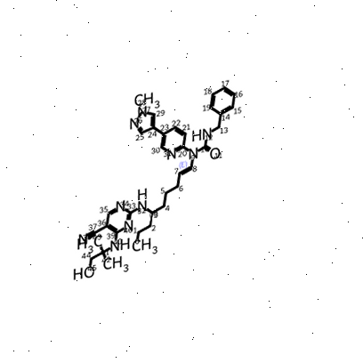 CCC[C@H](CCC/C=C/N(C(=O)NCc1ccccc1)c1ccc(-c2cnn(C)c2)cn1)Nc1ncc(C#N)c(NC(C)(C)CO)n1